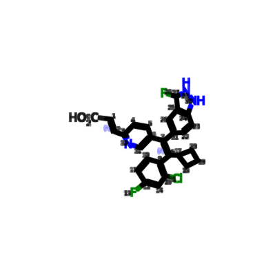 O=C(O)/C=C/c1ccc(/C(=C(\c2ccc(F)cc2Cl)C2CCC2)c2ccc3c(c2)C(F)NN3)cn1